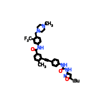 Cc1ccc(C(=O)Nc2ccc(CN3CCN(C)CC3)c(C(F)(F)F)c2)cc1C#Cc1ccc(NC(=O)Nc2cc(C(C)(C)C)on2)cc1